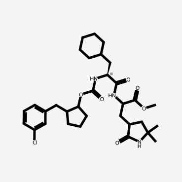 COC(=O)C(CC1CC(C)(C)NC1=O)NC(=O)[C@H](CC1CCCCC1)NC(=O)OC1CCCC1Cc1cccc(Cl)c1